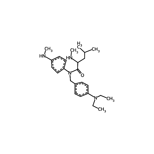 CCN(CC)c1ccc(CN(C(=O)C(CC(C)C)NC)c2ccc(NC)cc2)cc1